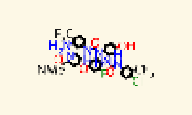 CNC(=O)c1cc(Oc2ccc(N(C(=O)Nc3ccc(Cl)c(C(F)(F)F)c3)c3cc(O)ccc3NC(=O)Nc3ccc(C(F)(F)F)c(N)c3)c(F)c2)ccn1